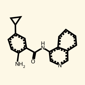 Nc1ccc(C2CC2)cc1C(=O)Nc1cncc2ccccc12